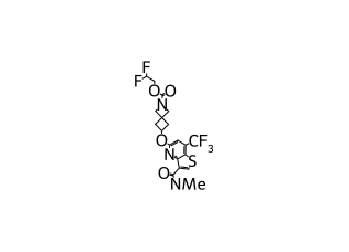 CNC(=O)c1csc2c(C(F)(F)F)cc(OC3CC4(C3)CN(C(=O)OCC(F)F)C4)nc12